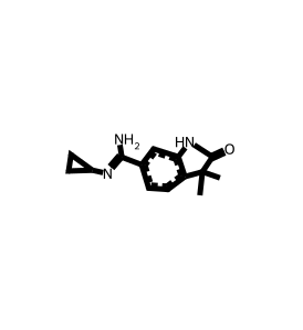 CC1(C)C(=O)Nc2cc(C(N)=NC3CC3)ccc21